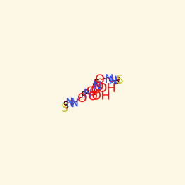 O=C(O)CCCC(COc1ccc2ccc(OCCCCN3CCN(c4cccc5sccc45)CC3)cc2n1)(COc1ccc2ccc(OCCCCN3CCN(c4cccc5sccc45)CC3)cc2n1)C(=O)O